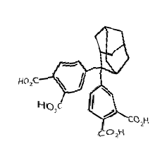 O=C(O)c1ccc(C2(c3ccc(C(=O)O)c(C(=O)O)c3)C3CC4CC(C3)CC2C4)cc1C(=O)O